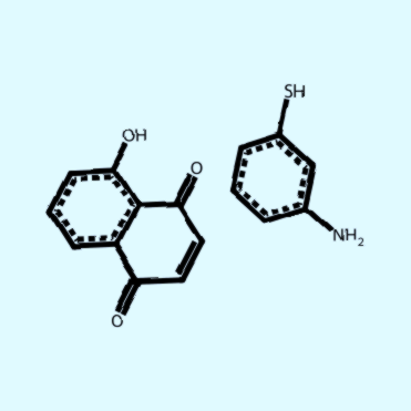 Nc1cccc(S)c1.O=C1C=CC(=O)c2c(O)cccc21